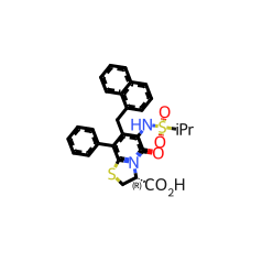 CC(C)S(=O)(=O)Nc1c(Cc2cccc3ccccc23)c(-c2ccccc2)c2n(c1=O)[C@H](C(=O)O)CS2